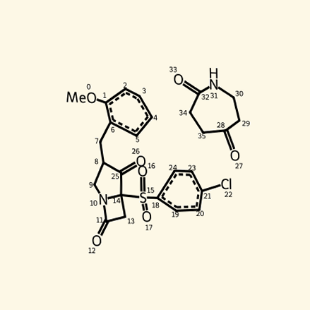 COc1ccccc1CC1CN2C(=O)CC2(S(=O)(=O)c2ccc(Cl)cc2)C1=O.O=C1CCNC(=O)CC1